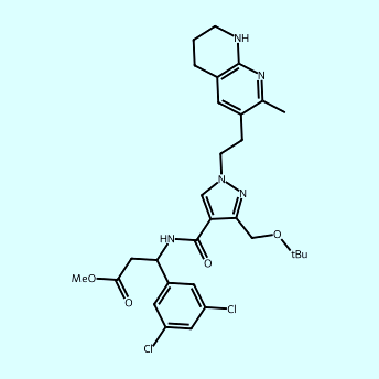 COC(=O)CC(NC(=O)c1cn(CCc2cc3c(nc2C)NCCC3)nc1COC(C)(C)C)c1cc(Cl)cc(Cl)c1